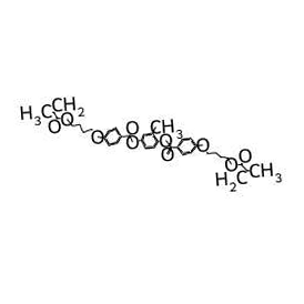 C=C(C)C(=O)OCCCCOc1ccc(C(=O)Oc2ccc(OC(=O)c3ccc(OCCCCOC(=O)C(=C)C)cc3)c(C)c2)cc1